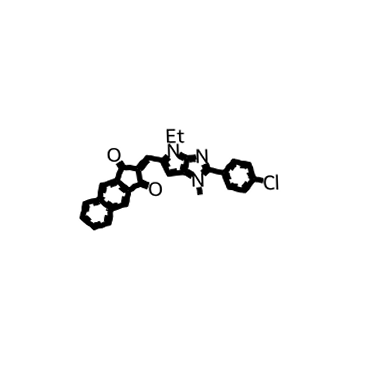 CCn1c(C=C2C(=O)c3cc4ccccc4cc3C2=O)cc2c1nc(-c1ccc(Cl)cc1)n2C